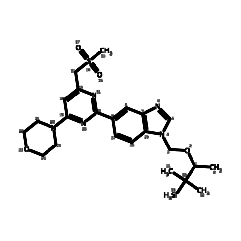 CC(OCn1cnc2cc(-c3nc(CS(C)(=O)=O)cc(N4CCOCC4)n3)ccc21)C(C)(C)[SiH3]